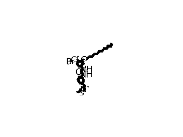 CCCCCCCCCCCCOc1cc(NC(=O)Nc2cccc(C[n+]3csc(C)c3)c2)ccc1Cl.[Br-]